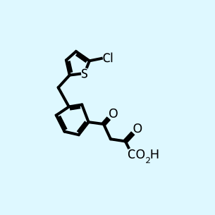 O=C(O)C(=O)CC(=O)c1cccc(Cc2ccc(Cl)s2)c1